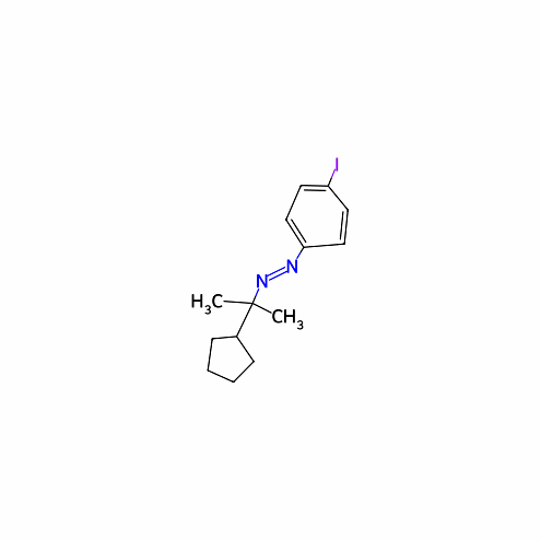 CC(C)(/N=N/c1ccc(I)cc1)C1CCCC1